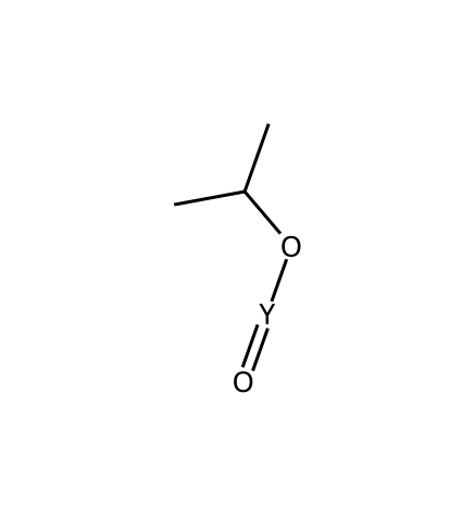 CC(C)[O][Y]=[O]